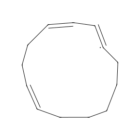 [C]1=C/C=C\CC/C=C\CCCCC/1